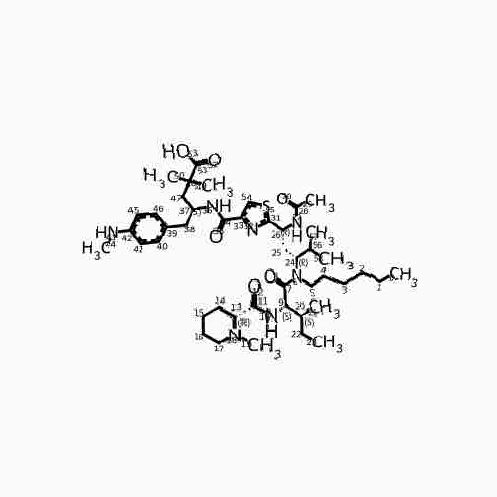 CCCCCCN(C(=O)[C@@H](NC(=O)[C@H]1CCCCN1C)[C@@H](C)CC)[C@H](C[C@@H](NC(C)=O)c1nc(C(=O)N[C@@H](Cc2ccc(NC)cc2)CC(C)(C)C(=O)O)cs1)C(C)C